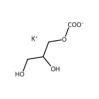 O=C([O-])OCC(O)CO.[K+]